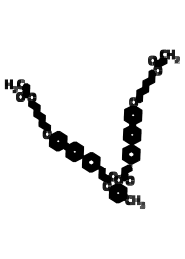 C=CC(=O)OCCCCCCOc1ccc(-c2ccc([C@H]3CC[C@H](CCC(=O)Oc4ccc(C)cc4OC(=O)CC[C@H]4CC[C@H](c5ccc(-c6ccc(OCCCCCCOC(=O)C=C)cc6)cc5)CC4)CC3)cc2)cc1